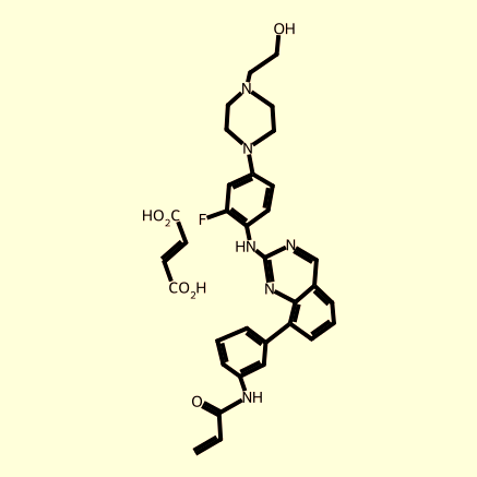 C=CC(=O)Nc1cccc(-c2cccc3cnc(Nc4ccc(N5CCN(CCO)CC5)cc4F)nc23)c1.O=C(O)C=CC(=O)O